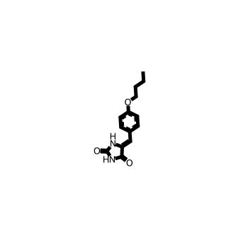 CCCCOc1ccc(/C=C2\NC(=O)NC2=O)cc1